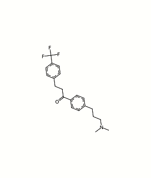 CN(C)CCCc1ccc(C(=O)CCc2ccc(C(F)(F)F)cc2)cc1